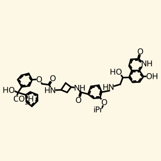 CC(C)Oc1cc(C(=O)NC2CC(NC(=O)COc3cccc(C(O)(C(=O)O)c4ccccc4)c3)C2)ccc1CNCC(O)c1ccc(O)c2[nH]c(=O)ccc12